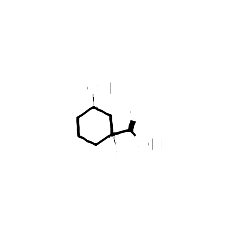 O=C(O)[C@]1(F)CCC[C@@H](O)C1